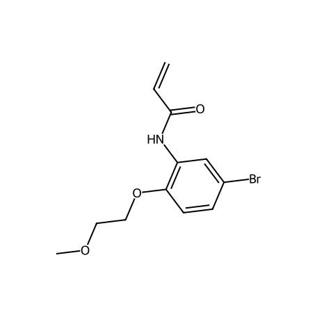 C=CC(=O)Nc1cc(Br)ccc1OCCOC